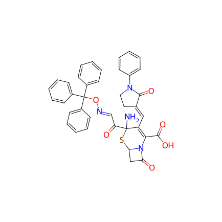 NC1(C(=O)C=NOC(c2ccccc2)(c2ccccc2)c2ccccc2)SC2CC(=O)N2C(C(=O)O)=C1C=C1CCN(c2ccccc2)C1=O